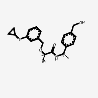 CC(C)[C@@H](OCc1cccc(SC2CC2)c1)C(=O)N[C@@H](C)c1ccc(CO)cc1